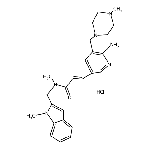 CN1CCN(Cc2cc(C=CC(=O)N(C)Cc3cc4ccccc4n3C)cnc2N)CC1.Cl